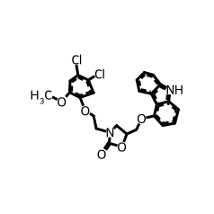 COc1cc(Cl)c(Cl)cc1OCCN1CC(COc2cccc3[nH]c4ccccc4c23)OC1=O